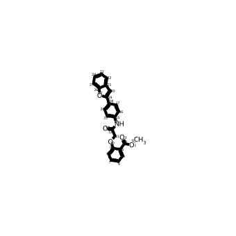 COC(=O)c1ccccc1OCC(=O)Nc1ccc(-c2cc3ccccc3o2)cc1